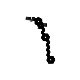 O=C(O)c1ccc2[nH]c(CCc3ccc(OCCCCCc4ccccc4)cc3)nc2c1